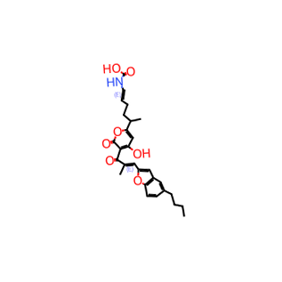 CCCCc1ccc2oc(/C=C(\C)C(=O)c3c(O)cc(C(C)CC/C=C/NC(=O)O)oc3=O)cc2c1